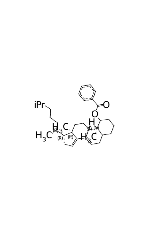 CC(C)CCC[C@@H](C)[C@H]1CC=C2C3=CCC4CCCC(OC(=O)c5ccccc5)[C@]4(C)[C@H]3CC[C@@]21C